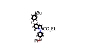 CCOC(=O)c1cc2cc(Oc3ccc(C(C)(C)C)cc3)ccc2n1-c1ccc(OC(C)C)cc1